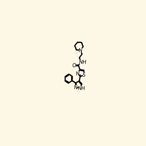 O=C(NCCN1CCCCC1)c1csc(-c2c[nH]nc2-c2ccccc2)n1